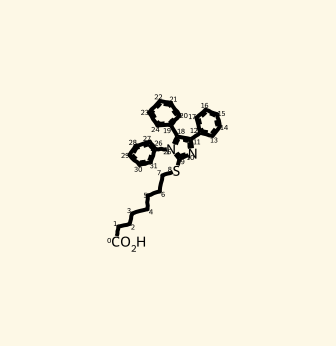 O=C(O)CCCCCCCSc1nc(-c2ccccc2)c(-c2ccccc2)n1-c1ccccc1